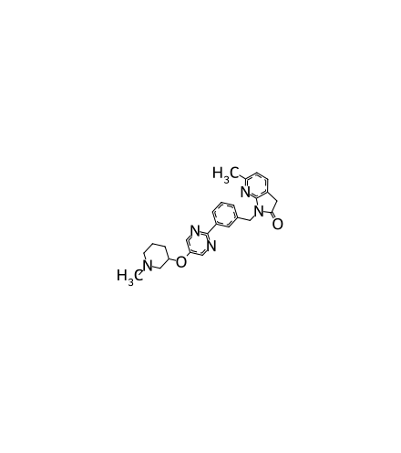 Cc1ccc2c(n1)N(Cc1cccc(-c3ncc(OC4CCCN(C)C4)cn3)c1)C(=O)C2